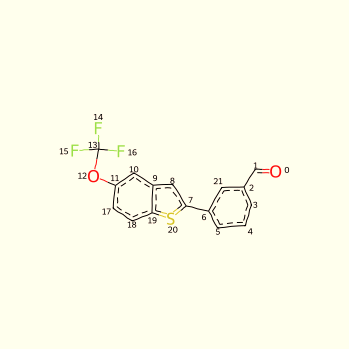 O=Cc1cccc(-c2cc3cc(OC(F)(F)F)ccc3s2)c1